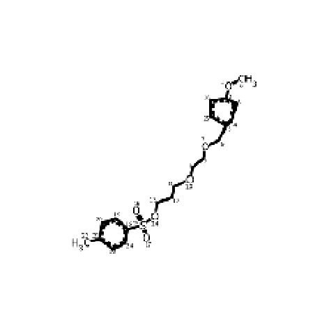 COc1ccc(COCCOCCCOS(=O)(=O)c2ccc(C)cc2)cc1